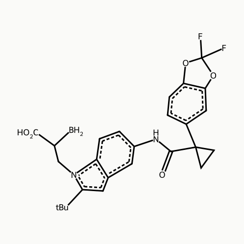 BC(Cn1c(C(C)(C)C)cc2cc(NC(=O)C3(c4ccc5c(c4)OC(F)(F)O5)CC3)ccc21)C(=O)O